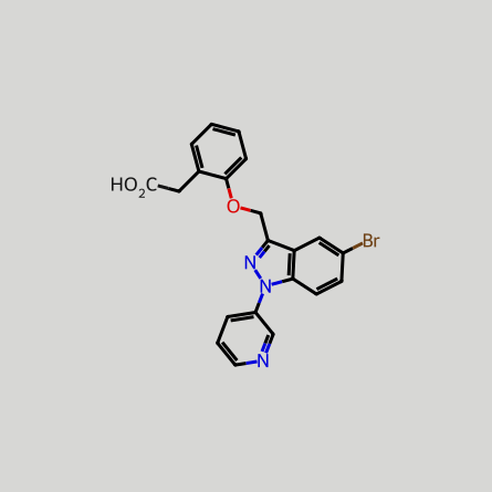 O=C(O)Cc1ccccc1OCc1nn(-c2cccnc2)c2ccc(Br)cc12